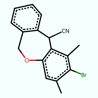 Cc1cc2c(c(C)c1Br)C(C#N)c1ccccc1CO2